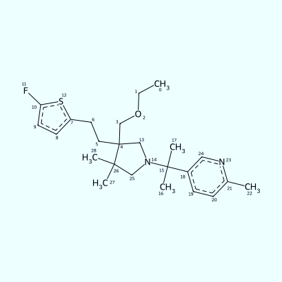 CCOCC1(CCc2ccc(F)s2)CN(C(C)(C)c2ccc(C)nc2)CC1(C)C